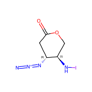 [N-]=[N+]=N[C@@H]1CC(=O)OC[C@H]1NI